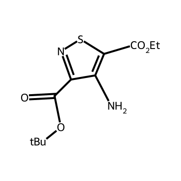 CCOC(=O)c1snc(C(=O)OC(C)(C)C)c1N